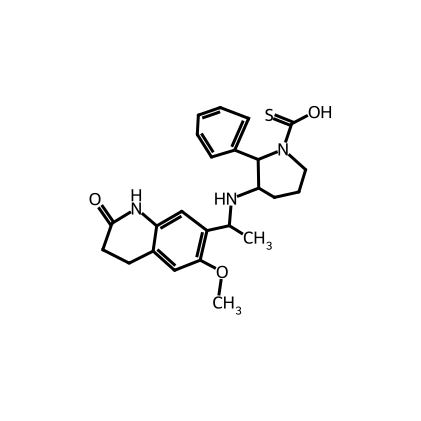 COc1cc2c(cc1C(C)NC1CCCN(C(O)=S)C1c1ccccc1)NC(=O)CC2